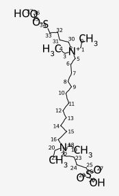 CC[N+](CC)(CCCCCCCCCCCC[N+](CC)(CC)CCCCS(=O)(=O)O)CCCCSOOO